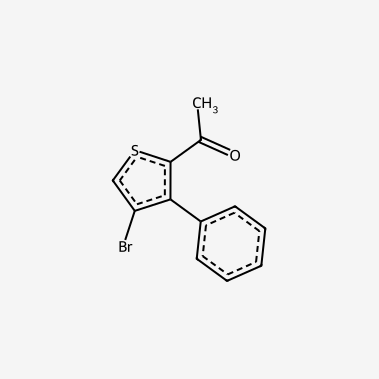 CC(=O)c1scc(Br)c1-c1ccccc1